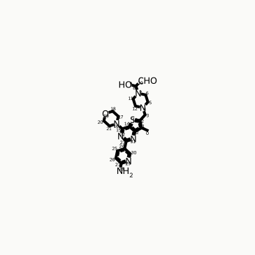 Cc1c(CN2CCN(C(O)C=O)CC2)sc2c(N3CCOCC3)nc(-c3ccc(N)nc3)nc12